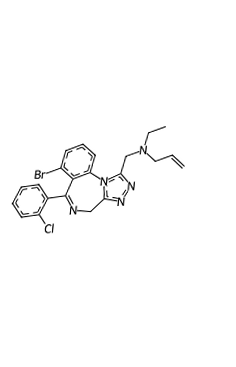 C=CCN(CC)Cc1nnc2n1-c1cccc(Br)c1C(c1ccccc1Cl)=NC2